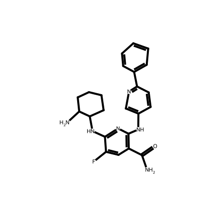 NC(=O)c1cc(F)c(NC2CCCCC2N)nc1Nc1ccc(-c2ccccc2)nc1